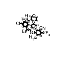 CCN(C(=O)[C@@H]1C[C@H](N2CCOC[C@H]2CO)CN1c1nc(C)cc(C(F)(F)F)c1C#N)c1ccc(F)c(Cl)c1